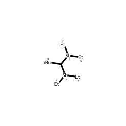 CCCC[CH]([Sb]([CH2]C)[CH2]C)[Sb]([CH2]C)[CH2]C